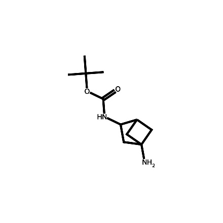 CC(C)(C)OC(=O)NC1CC2(N)CC1C2